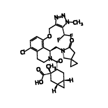 Cn1nnc(COc2ccc(Cl)c3c2[C@@H](CN2CC4(CC4)CC2=O)N(C(=O)[C@@H]2C[C@@H]4C[C@@H]4C[C@]2(C)C(=O)O)CC3)c1C(F)F